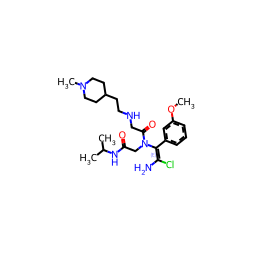 COc1cccc(/C(=C(/N)Cl)N(CC(=O)NC(C)C)C(=O)CNCCC2CCN(C)CC2)c1